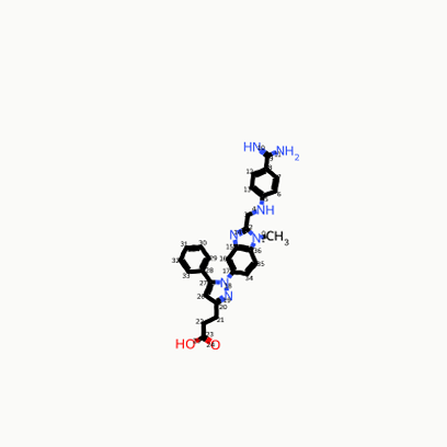 Cn1c(CNc2ccc(C(=N)N)cc2)nc2cc(-n3nc(CCC(=O)O)cc3-c3ccccc3)ccc21